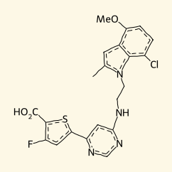 COc1ccc(Cl)c2c1cc(C)n2CCNc1cc(-c2cc(F)c(C(=O)O)s2)ncn1